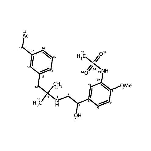 COc1ccc(C(O)CNC(C)(C)Cc2cccc(CC(C)=O)c2)cc1NS(C)(=O)=O